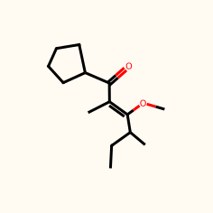 CCC(C)/C(OC)=C(\C)C(=O)C1CCCC1